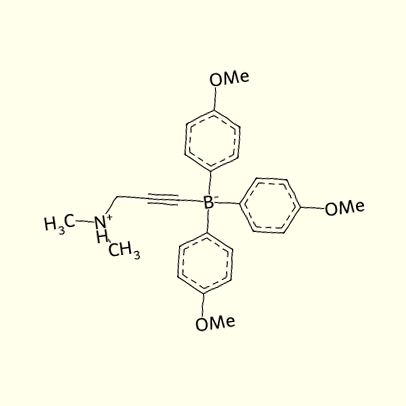 COc1ccc([B-](C#CC[NH+](C)C)(c2ccc(OC)cc2)c2ccc(OC)cc2)cc1